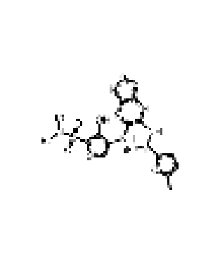 CCN(CC)S(=O)(=O)c1scc(Nc2nc3nonc3nc2N[C@@H](c2ccc(C)o2)C(C)C)c1O